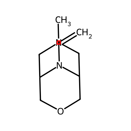 C=CN1C2COCC1CN(C)C2